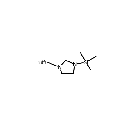 [CH2]CCN1CCN([Si](C)(C)C)C1